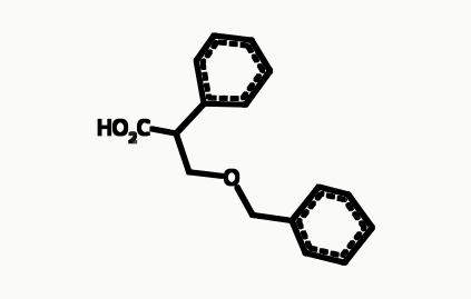 O=C(O)C(COCc1ccccc1)c1ccccc1